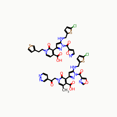 Cc1cn(CC(=O)c2ccnnc2)c(=O)c(-c2cc(NCc3ccc(Cl)s3)n(C(=O)c3cocn3)n2)c1C(=O)O.O=C(O)c1ccn(CCc2ccsc2)c(=O)c1-c1cc(NCc2ccc(Cl)s2)n(C(=O)c2ccno2)n1